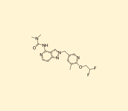 Cc1cc(Cn2cc3c(NC(=O)N(C)C)nccc3n2)cnc1OCC(F)F